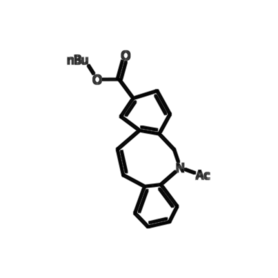 CCCCOC(=O)c1ccc2c(c1)C=Cc1ccccc1N(C(C)=O)C2